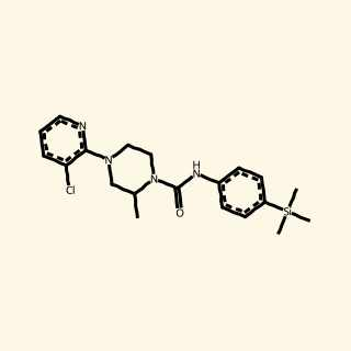 CC1CN(c2ncccc2Cl)CCN1C(=O)Nc1ccc([Si](C)(C)C)cc1